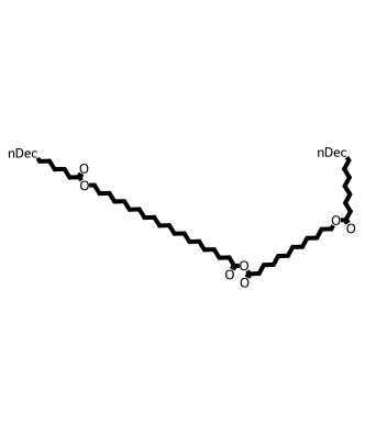 CCCCCCCCCCCCCCCCCC(=O)OCCCCCCCCCCCC(=O)OC(=O)CCCCCCCCCCCCCCCCCCCOC(=O)CCCCCCCCCCCCCCC